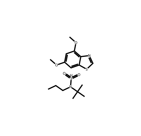 CCCN([SH](=O)=O)C(C)(C)C.COc1cc(OC)c2ncsc2c1